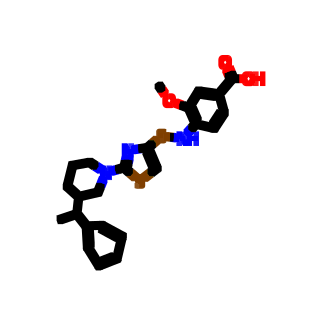 COc1cc(C(=O)O)ccc1NSc1csc(N2CCCC(C(C)c3ccccc3)C2)n1